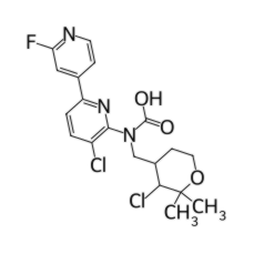 CC1(C)OCCC(CN(C(=O)O)c2nc(-c3ccnc(F)c3)ccc2Cl)C1Cl